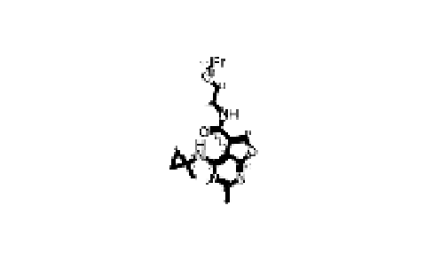 Cc1nc(NC2(C)CC2)c2c(C(=O)NCCOC(C)C)coc2n1